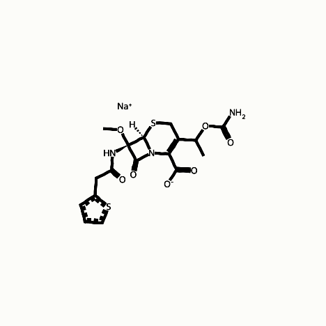 CO[C@@]1(NC(=O)Cc2cccs2)C(=O)N2C(C(=O)[O-])=C(C(C)OC(N)=O)CS[C@@H]21.[Na+]